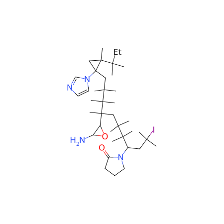 CCC(C)(C)C1(C)CC1(CC(C)(C)C(C)(C)C(C)(CC(C)(C)C(C)(C)C(CC(C)(C)I)N1CCCC1=O)C1OC1N)n1ccnc1